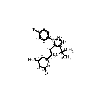 CC(C)(C)c1nnn(-c2ccc(F)cc2)c1CCC1CC(O)CC(=O)O1